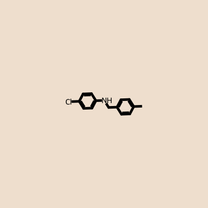 Cc1ccc(CNc2ccc(Cl)cc2)cc1